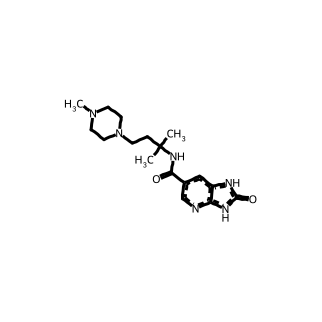 CN1CCN(CCC(C)(C)NC(=O)c2cnc3[nH]c(=O)[nH]c3c2)CC1